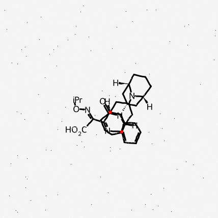 CC(C)O/N=C(\C(=O)O)c1nc2ccccc2n([C@H]2C[C@H]3CCC[C@@H](C2)N3C2C[C@H]3CCCC[C@@H](C2)C3)c1=O